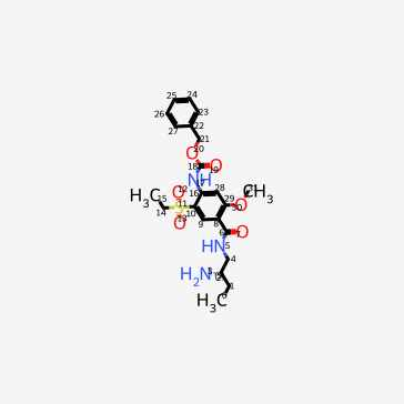 CC[C@H](N)CNC(=O)c1cc(S(=O)(=O)CC)c(NC(=O)OCc2ccccc2)cc1OC